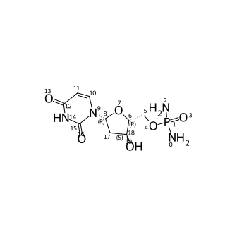 NP(N)(=O)OC[C@H]1O[C@@H](n2ccc(=O)[nH]c2=O)C[C@@H]1O